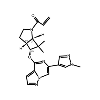 C=CC(=O)N1CC[C@@H]2[C@H]1C(C)(C)[C@H]2Oc1nc(-c2cnn(C)c2)cn2nccc12